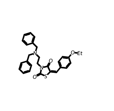 CCOc1ccc(/C=C2/SC(=O)N(CCN(Cc3ccccc3)Cc3ccccc3)C2=O)cc1